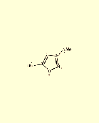 CNc1cc(C(C)(C)C)on1